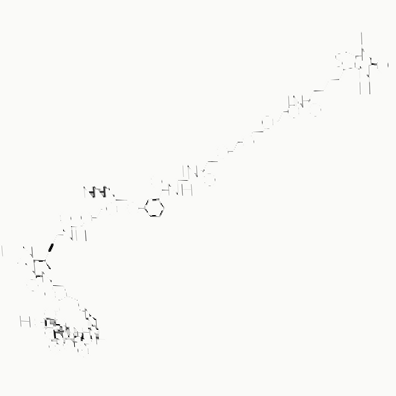 [N-]=[N+]=NCCC1C[C@H](n2cc(C#CCNC(=O)COCCOC(COc3cccc(C(=O)NCCNC(=O)CCOCCOCCOCCONC(=O)CCCCC4SCC5NC(=O)NC54)c3)N=[N+]=[N-])c(N)nc2=O)O[C@@H]1COP(=O)(O)OP(=O)(O)OP(=O)(O)O